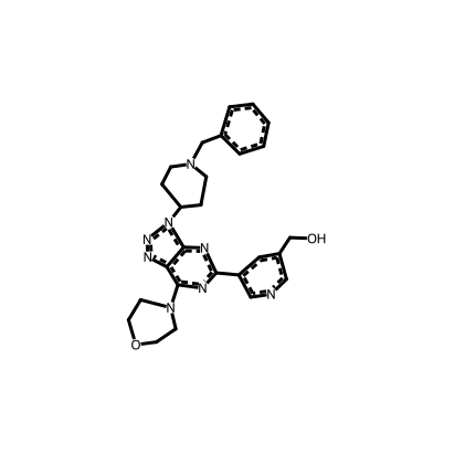 OCc1cncc(-c2nc(N3CCOCC3)c3nnn(C4CCN(Cc5ccccc5)CC4)c3n2)c1